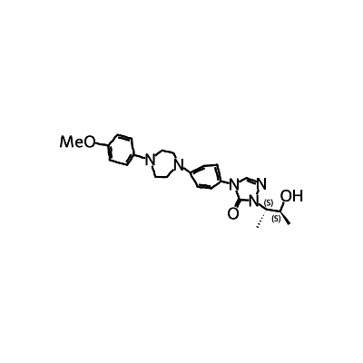 COc1ccc(N2CCN(c3ccc(-n4cnn([C@@H](C)[C@H](C)O)c4=O)cc3)CC2)cc1